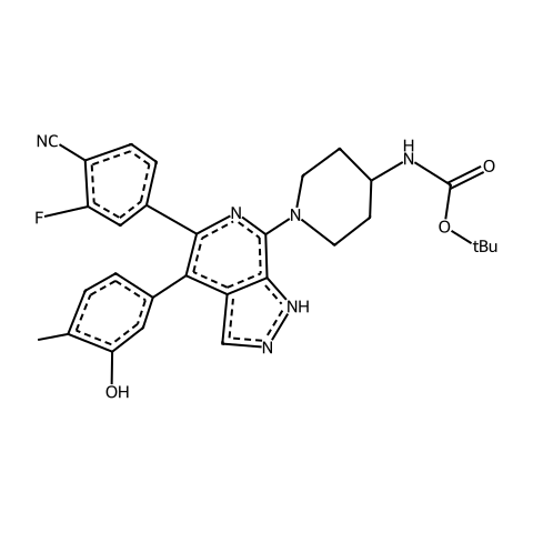 Cc1ccc(-c2c(-c3ccc(C#N)c(F)c3)nc(N3CCC(NC(=O)OC(C)(C)C)CC3)c3[nH]ncc23)cc1O